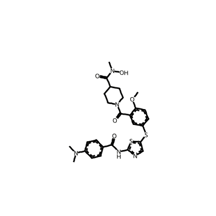 COc1ccc(Sc2cnc(NC(=O)c3ccc(N(C)C)cc3)s2)cc1C(=O)N1CCC(C(=O)N(C)O)CC1